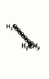 COCCOCCOCCOCCOCCOCCOCCOCCOCCOC(=O)C(C)C(C)(C)C